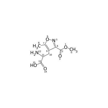 COC(=O)c1noc(C)c1CC(N)C(=O)O